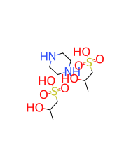 C1CNCCN1.CC(O)CS(=O)(=O)O.CC(O)CS(=O)(=O)O